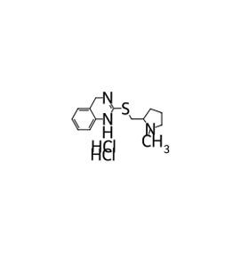 CN1CCCC1CSC1=NCc2ccccc2N1.Cl.Cl